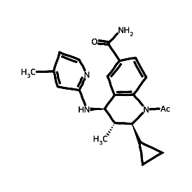 CC(=O)N1c2ccc(C(N)=O)cc2[C@H](Nc2cc(C)ccn2)[C@@H](C)[C@@H]1C1CC1